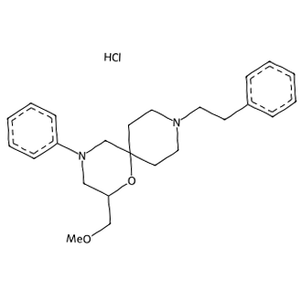 COCC1CN(c2ccccc2)CC2(CCN(CCc3ccccc3)CC2)O1.Cl